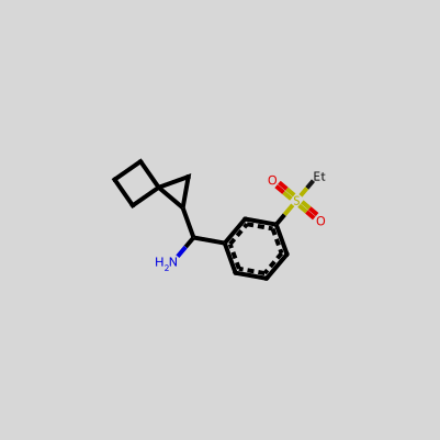 CCS(=O)(=O)c1cccc(C(N)C2CC23CCC3)c1